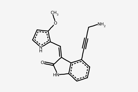 COc1cc[nH]c1C=C1C(=O)Nc2cccc(C#CCN)c21